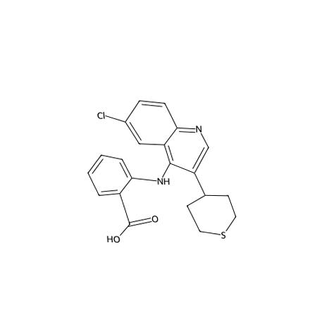 O=C(O)c1ccccc1Nc1c(C2CCSCC2)cnc2ccc(Cl)cc12